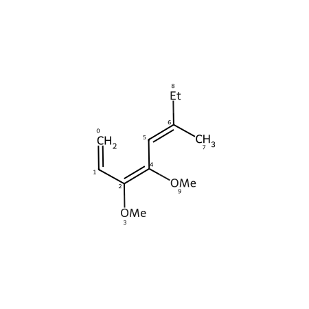 C=C/C(OC)=C(\C=C(/C)CC)OC